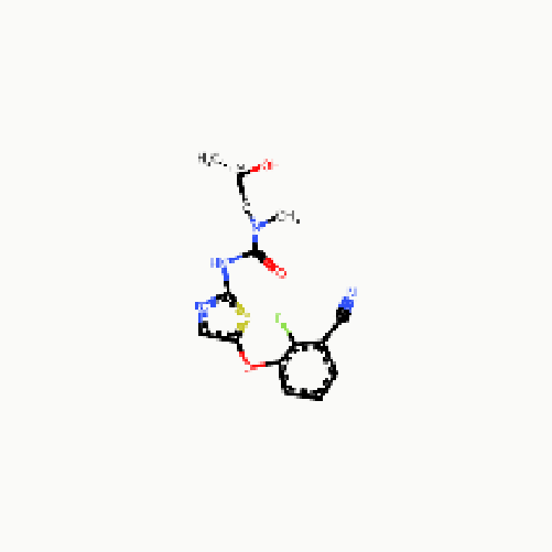 C[C@H](O)CN(C)C(=O)Nc1ncc(Oc2cccc(C#N)c2F)s1